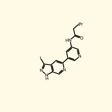 CC(C)CC(=O)Nc1cncc(-c2cc3c(I)n[nH]c3cn2)c1